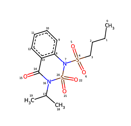 CCCCS(=O)(=O)N1c2ccccc2C(=O)N(C(C)C)S1(=O)=O